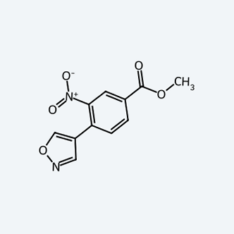 COC(=O)c1ccc(-c2cnoc2)c([N+](=O)[O-])c1